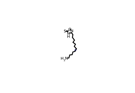 NCCCC/C=C\CCCCCCc1noc(=S)[nH]1